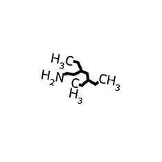 CCC(CC)CC(CC)CCN